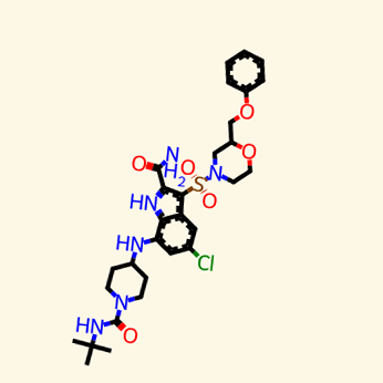 CC(C)(C)NC(=O)N1CCC(Nc2cc(Cl)cc3c(S(=O)(=O)N4CCOC(COc5ccccc5)C4)c(C(N)=O)[nH]c23)CC1